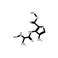 CCCNC(C)C(=O)Nc1c(C)csc1C(=O)OCCC